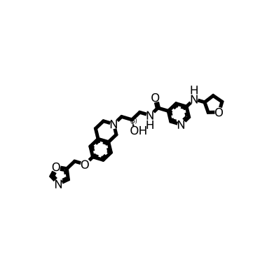 O=C(NC[C@H](O)CN1CCc2cc(OCc3cnco3)ccc2C1)c1cncc(NC2CCOC2)c1